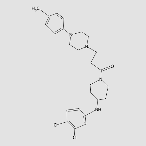 Cc1ccc(N2CCN(CCC(=O)N3CCC(Nc4ccc(Cl)c(Cl)c4)CC3)CC2)cc1